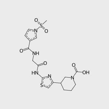 CS(=O)(=O)n1ccc(C(=O)NCC(=O)Nc2nc(C3CCCN(C(=O)O)C3)cs2)c1